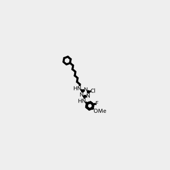 COc1ccc(Nc2nc(Cl)nc(NCCCCCCCC3CCCCC3)n2)cc1F